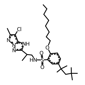 CCCCCCCCOc1ccc(C(C)(C)CC(C)(C)C)cc1S(=O)(=O)NCC(C)c1nn2nc(C)c(Cl)c2[nH]1